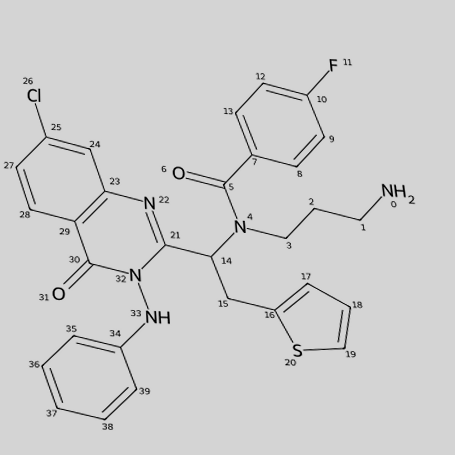 NCCCN(C(=O)c1ccc(F)cc1)C(Cc1cccs1)c1nc2cc(Cl)ccc2c(=O)n1Nc1ccccc1